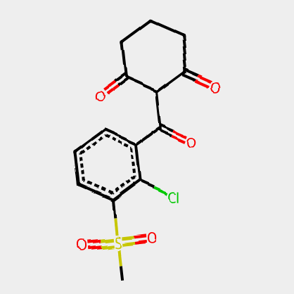 CS(=O)(=O)c1cccc(C(=O)C2C(=O)CCCC2=O)c1Cl